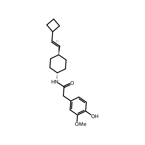 COc1cc(CC(=O)N[C@H]2CC[C@H](/C=C/C3CCC3)CC2)ccc1O